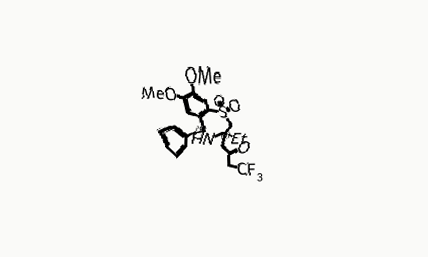 CC[C@]1(CC(=O)CC(F)(F)F)CS(=O)(=O)c2cc(OC)c(OC)cc2[C@H](c2ccccc2)N1